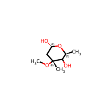 CO[C@]1(C)C[C@H](O)O[C@@H](C)C1O